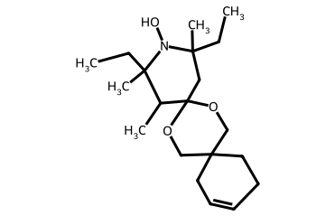 CCC1(C)CC2(OCC3(CC=CCC3)CO2)C(C)C(C)(CC)N1O